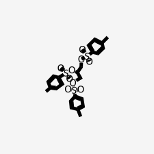 Cc1ccc(S(=O)(=O)OCC(COS(=O)(=O)c2ccc(C)cc2)OS(=O)(=O)c2ccc(C)cc2)cc1